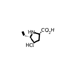 C=C[C@H]1CC[C@@H](C(=O)O)N1.Cl